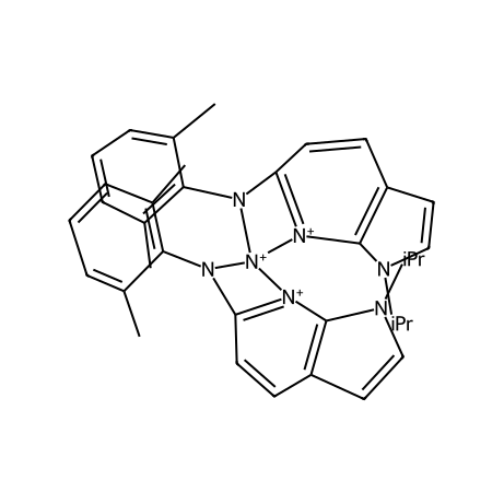 Cc1cccc(C)c1N1c2ccc3ccn(C(C)C)c3[n+]2[N+]12N(c1c(C)cccc1C)c1ccc3ccn(C(C)C)c3[n+]12